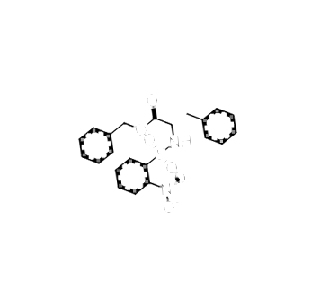 O=C(OCc1ccccc1)[C@H](Cc1ccccc1)NS(=O)(=O)c1ccccc1[N+](=O)[O-]